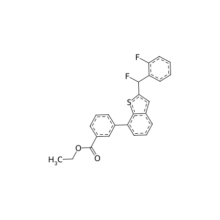 CCOC(=O)c1cccc(-c2cccc3cc(C(F)c4ccccc4F)sc23)c1